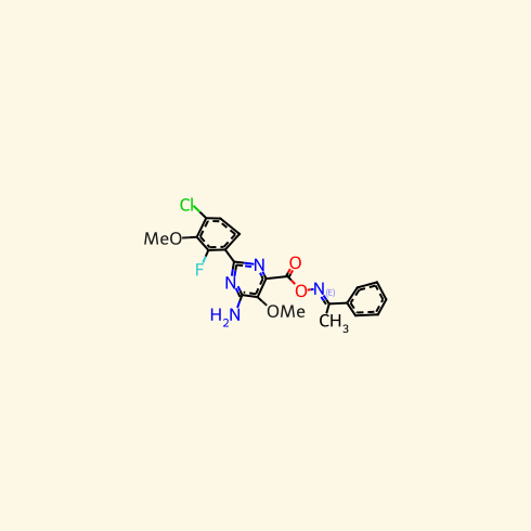 COc1c(N)nc(-c2ccc(Cl)c(OC)c2F)nc1C(=O)O/N=C(\C)c1ccccc1